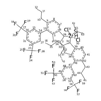 CCCC1=Cc2c(ccc(CCC)c2-c2cc(C(F)(F)F)cc(C(F)(F)F)c2)[CH]1[Zr]([Cl])([Cl])([CH]1C(CCC)=Cc2c1ccc(CCC)c2-c1cc(C(F)(F)F)cc(C(F)(F)F)c1)[SiH](C)C